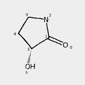 O=C1[N]CC[C@H]1O